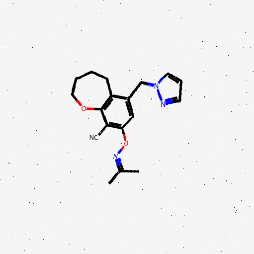 CC(C)=NOc1cc(Cn2cccn2)c2c(c1C#N)OCCCC2